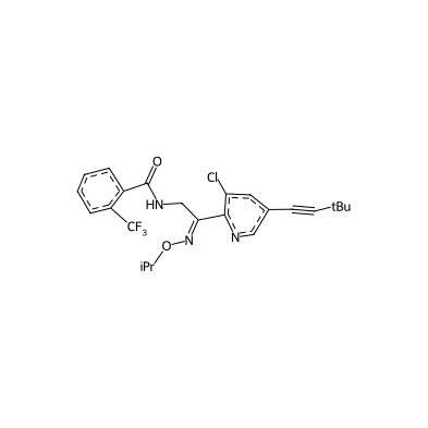 CC(C)ON=C(CNC(=O)c1ccccc1C(F)(F)F)c1ncc(C#CC(C)(C)C)cc1Cl